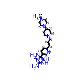 CN1CCN(C2CCN(CC=Cc3ccc(C4(N)N=C(N)NN4)cn3)CC2)CC1